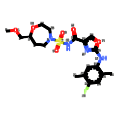 COC[C@@H]1CCN(S(=O)(=O)NC(=O)c2coc(Nc3cc(C)c(F)cc3C)n2)CCO1